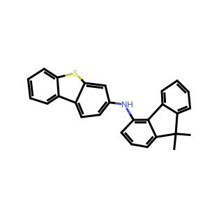 CC1(C)c2ccccc2-c2c(Nc3ccc4c(c3)sc3ccccc34)cccc21